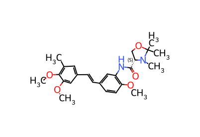 COc1ccc(C=Cc2cc(C)c(OC)c(OC)c2)cc1NC(=O)[C@@H]1COC(C)(C)N1C